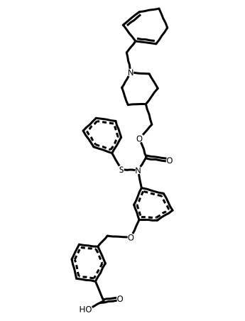 O=C(O)c1cccc(COc2cccc(N(Sc3ccccc3)C(=O)OCC3CCN(CC4=CCCC=C4)CC3)c2)c1